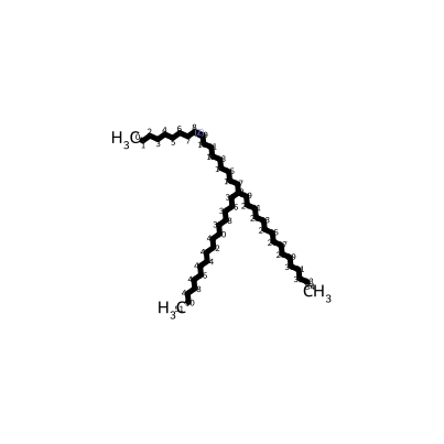 CCCCCCCC/C=C\CCCCCCCCC([CH]CCCCCCCCCCCCCCC)CCCCCCCCCCCCCCCCC